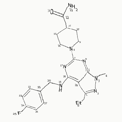 CCc1nn(C)c2nc(N3CCC(C(N)=O)CC3)nc(NCc3ccc(F)cc3)c12